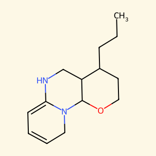 CCCC1CCOC2C1CNC1=CC=CCN12